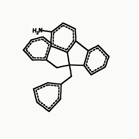 Nc1ccc2c(c1)C(Cc1ccccc1)(Cc1ccccc1)c1ccccc1-2